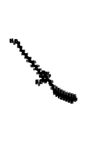 CCCCCCCCCCCCCCCCCC(=O)Oc1c(C)cc(CSCCC(F)(F)C(F)(F)C(F)(F)C(F)(F)C(F)(F)C(F)(F)C(F)(F)C(F)(F)F)cc1C